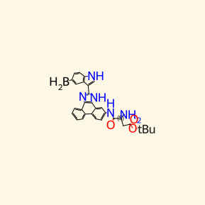 Bc1ccc2[nH]cc(-c3nc4c5ccccc5c5ccc(NC(=O)[C@@H](N)CC(=O)OC(C)(C)C)cc5c4[nH]3)c2c1